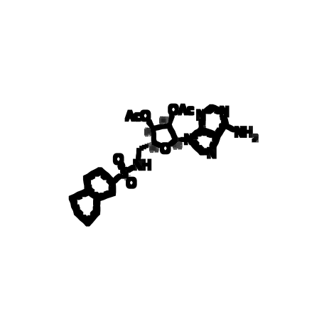 CC(=O)O[C@@H]1[C@H](OC(C)=O)[C@@H](CNS(=O)(=O)c2ccc3ccccc3c2)O[C@H]1n1cnc2c(N)ncnc21